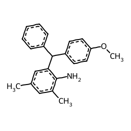 COc1ccc(C(c2ccccc2)c2cc(C)cc(C)c2N)cc1